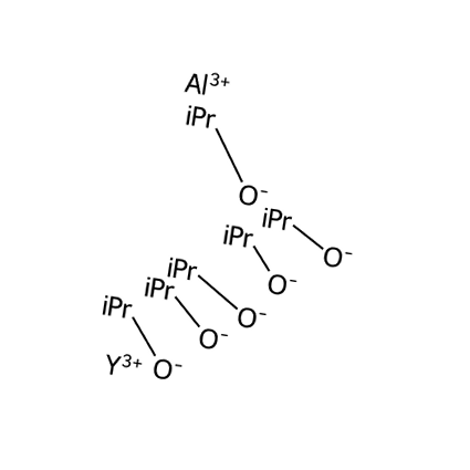 CC(C)[O-].CC(C)[O-].CC(C)[O-].CC(C)[O-].CC(C)[O-].CC(C)[O-].[Al+3].[Y+3]